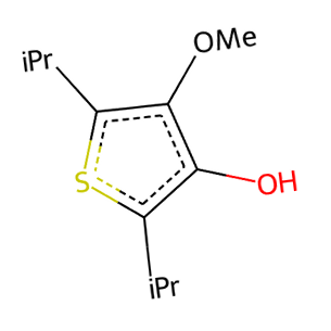 COc1c(C(C)C)sc(C(C)C)c1O